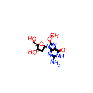 Nc1nc2c(nc(OO)n2[C@H]2C[C@H](O)[C@@H](CO)O2)c(=O)[nH]1